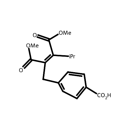 COC(=O)C(Cc1ccc(C(=O)O)cc1)=C(C(=O)OC)C(C)C